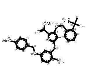 COC(=O)c1sc(Nc2cc(OCc3ccc(OC)cc3)ccc2N)cc1O[C@H](C)c1ccccc1C(C)(F)F